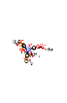 CCCCOCC(O)COc1ccc(-c2nc(-c3ccc(S(C)(=O)=O)cc3S(C)(=O)=O)nc(-c3ccc(S(C)(=O)=O)cc3S(C)(=O)=O)n2)c(O)c1